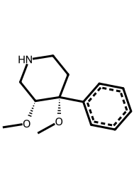 CO[C@@H]1CNCC[C@@]1(OC)c1ccccc1